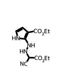 CCOC(=O)c1cc[nH]c1NNC(C#N)C(=O)OCC